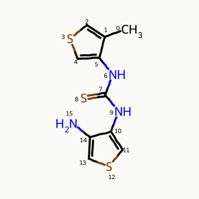 Cc1cscc1NC(=S)Nc1cscc1N